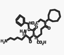 NCCCC[C@H](N)C(=O)N(C(=O)OCc1ccccc1)[C@H](CCC(=O)N(CC(=O)O)C1CCCCCCC1)C(=O)O